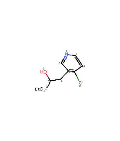 CCOC(=O)C(O)Cc1cnccc1Cl